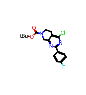 CC(C)(C)OC(=O)N1CCc2c(Cl)nc(-c3ccc(F)cc3)nc2C1